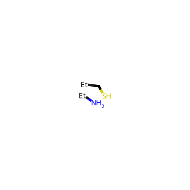 CCCS.CCN